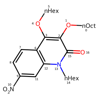 CCCCCCCCOc1c(OCCCCCC)c2ccc([N+](=O)[O-])cc2n(CCCCCC)c1=O